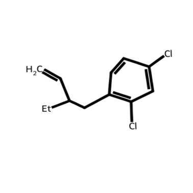 C=CC(CC)Cc1ccc(Cl)cc1Cl